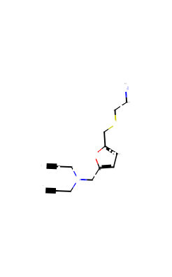 C#CCN(CC#C)Cc1ccc(CSCCN)o1